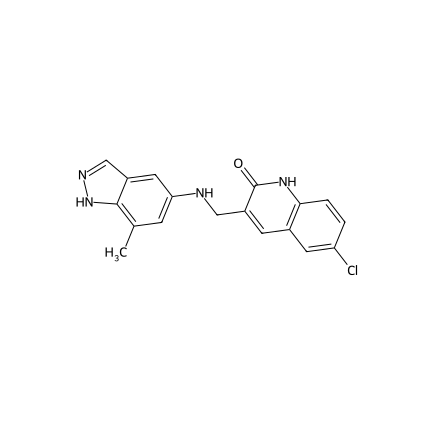 Cc1cc(NCc2cc3cc(Cl)ccc3[nH]c2=O)cc2cn[nH]c12